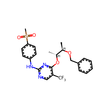 C[C@@H](OCc1ccccc1)[C@@H](C)Oc1nc(Nc2ccc(S(C)(=O)=O)cc2)ncc1C(F)(F)F